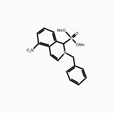 COP(=O)(OC)C1c2cccc([N+](=O)[O-])c2C=CN1Cc1ccccc1